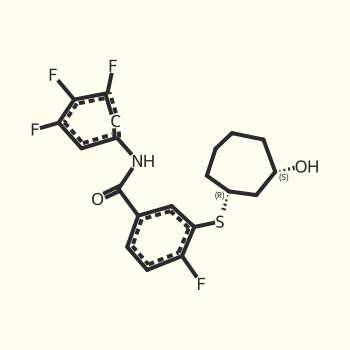 O=C(Nc1cc(F)c(F)c(F)c1)c1ccc(F)c(S[C@@H]2CCCC[C@H](O)C2)c1